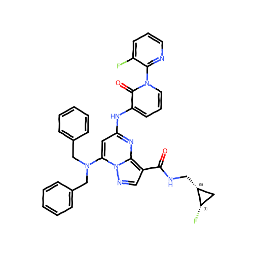 O=C(NC[C@@H]1C[C@@H]1F)c1cnn2c(N(Cc3ccccc3)Cc3ccccc3)cc(Nc3cccn(-c4ncccc4F)c3=O)nc12